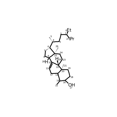 CC[C@H](CC[C@@H](C)[C@H]1CC[C@H]2C3=CCC4C(C)C(O)CC[C@]4(C)[C@H]3CC[C@]12C)C(C)C